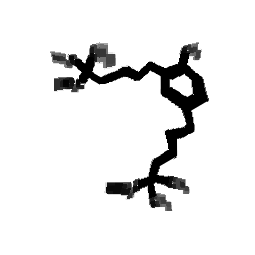 Cc1ccc(CCCCC(C)(C)C(=O)O)cc1CCCCC(C)(C)C(=O)O